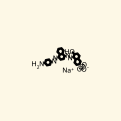 Nc1ccc(N=Nc2ccc(N=Nc3c(O)ccc4cc(S(=O)(=O)[O-])ccc34)c3ccccc23)cc1.[Na+]